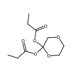 CCC(=O)OC1(OC(=O)CC)COCCO1